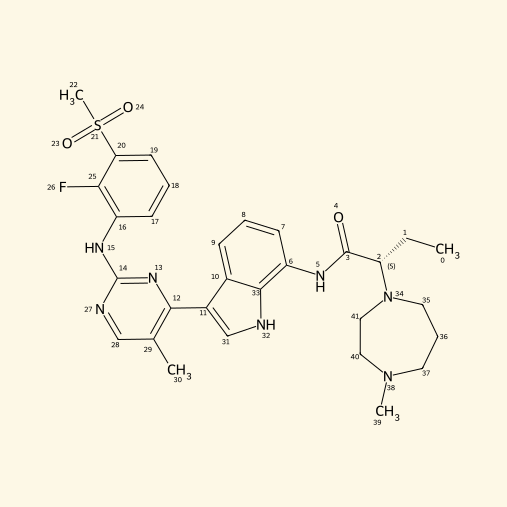 CC[C@@H](C(=O)Nc1cccc2c(-c3nc(Nc4cccc(S(C)(=O)=O)c4F)ncc3C)c[nH]c12)N1CCCN(C)CC1